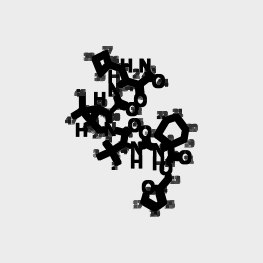 CC(C)(C)[C@H](NC(=O)NC1(C(=O)OCc2ccco2)CCCCC1)C(=O)N1C[C@H]2[C@@H]([C@H]1C(=O)NC(CC1CCC1)C(=O)C(N)=O)C2(C)C